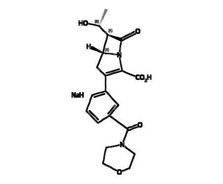 C[C@@H](O)[C@H]1C(=O)N2C(C(=O)O)=C(c3cccc(C(=O)N4CCOCC4)c3)C[C@H]12.[NaH]